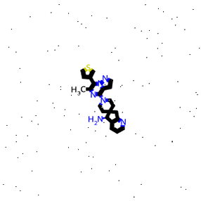 Cc1nc(N2CCC3(CC2)Cc2ncccc2[C@H]3N)c2ccnn2c1-c1ccsc1